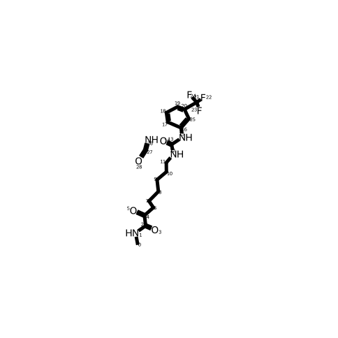 CNC(=O)C(=O)CCCCCCNC(=O)Nc1cccc(C(F)(F)F)c1.N=C=O